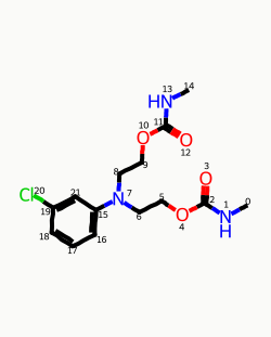 CNC(=O)OCCN(CCOC(=O)NC)c1cccc(Cl)c1